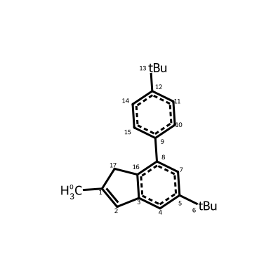 CC1=Cc2cc(C(C)(C)C)cc(-c3ccc(C(C)(C)C)cc3)c2C1